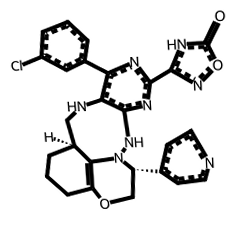 O=c1[nH]c(-c2nc3c(c(-c4cccc(Cl)c4)n2)NC[C@@H]2CCCC4=C2N(N3)[C@H](c2ccncc2)CO4)no1